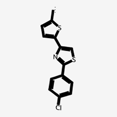 [C]c1ccc(-c2csc(-c3ccc(Cl)cc3)n2)s1